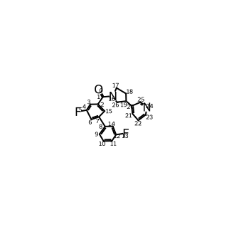 O=C(c1cc(F)cc(-c2cccc(F)c2)c1)N1CCC(c2cccnc2)C1